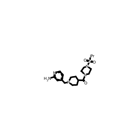 CC(C)S(=O)(=O)N1CCN(C(=O)C2CCN(Cc3ccnc(N)c3)CC2)CC1